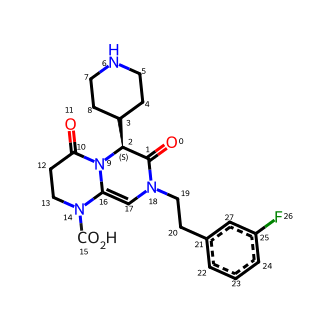 O=C1[C@H](C2CCNCC2)N2C(=O)CCN(C(=O)O)C2=CN1CCc1cccc(F)c1